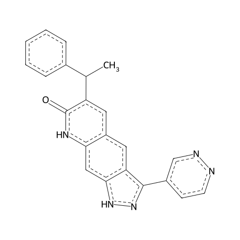 CC(c1ccccc1)c1cc2cc3c(-c4ccnnc4)n[nH]c3cc2[nH]c1=O